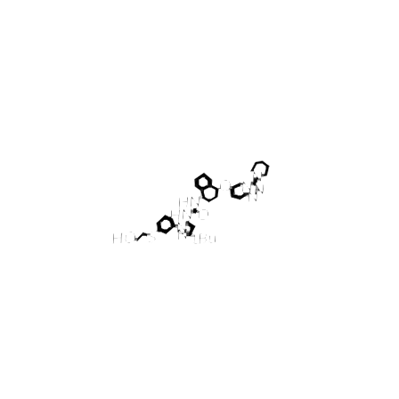 CC(C)(C)c1cc(NC(=O)N[C@H]2CC[C@@H](Oc3ccc4nnc(N5CCCCC5)n4c3)c3ccccc32)n(-c2cccc(SCCO)c2)n1